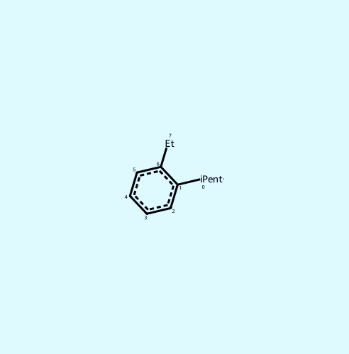 CCC[C](C)c1ccccc1CC